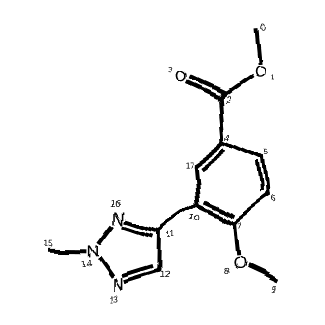 COC(=O)c1ccc(OC)c(-c2cnn(C)n2)c1